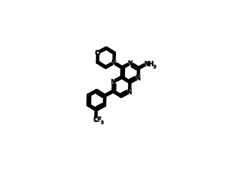 Nc1nc(N2CCOCC2)c2nc(-c3cccc(C(F)(F)F)c3)cnc2n1